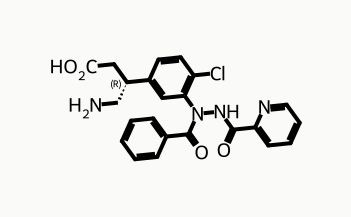 NC[C@H](CC(=O)O)c1ccc(Cl)c(N(NC(=O)c2ccccn2)C(=O)c2ccccc2)c1